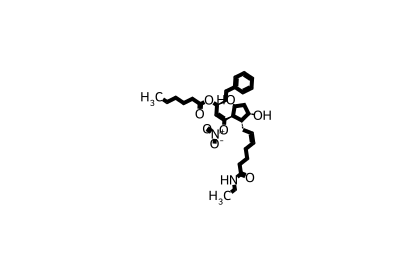 CCCCCC(=O)O[C@H](/C=C(/O[N+](=O)[O-])[C@@H]1[C@@H](C/C=C\CCCC(=O)NCC)[C@@H](O)C[C@H]1O)CCc1ccccc1